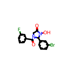 O=C1CN(C(=O)c2cccc(F)c2)C(c2cccc(Br)c2)N1O